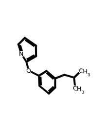 CC(C)Cc1cccc(Oc2ccccn2)c1